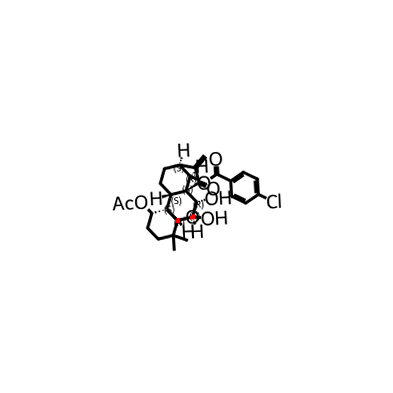 C=C1C(=O)[C@]23[C@H](OC(=O)c4ccc(Cl)cc4)[C@H]1CC[C@H]2[C@@]12CO[C@@]3(O)[C@@H](O)[C@@H]1C(C)(C)CCC2OC(C)=O